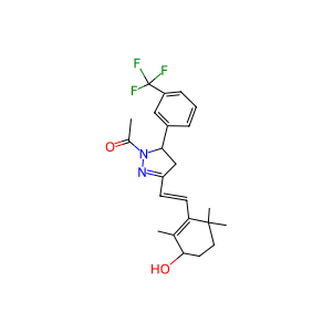 CC(=O)N1N=C(/C=C/C2=C(C)C(O)CCC2(C)C)CC1c1cccc(C(F)(F)F)c1